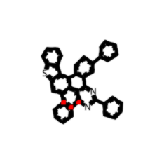 c1ccc(-c2ccc(-c3c4ccccc4cc4sc5ccccc5c34)c(-c3nc(-c4ccccc4)nc(-c4ccccc4)n3)c2)cc1